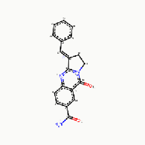 NC(=O)c1ccc2nc3n(c(=O)c2c1)CC/C3=C\c1ccccc1